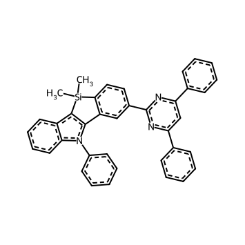 C[Si]1(C)c2ccc(-c3nc(-c4ccccc4)cc(-c4ccccc4)n3)cc2-c2c1c1ccccc1n2-c1ccccc1